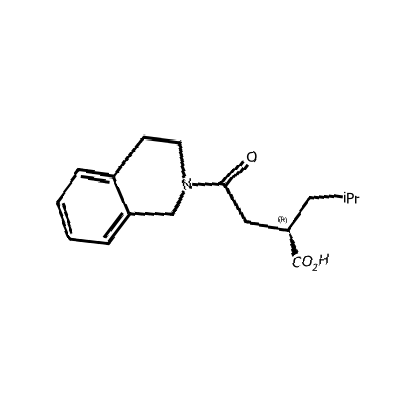 CC(C)C[C@H](CC(=O)N1CCc2ccccc2C1)C(=O)O